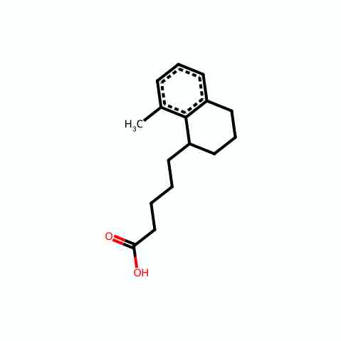 Cc1cccc2c1C(CCCCC(=O)O)CCC2